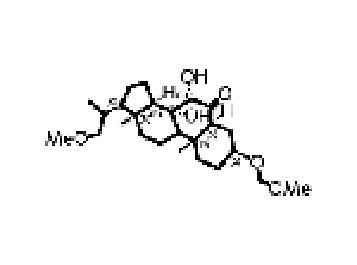 COCO[C@H]1CC[C@]2(C)C3CC[C@]4(C)[C@@H](C(C)COC)CC[C@H]4[C@@]3(O)[C@H](O)C(=O)[C@H]2C1